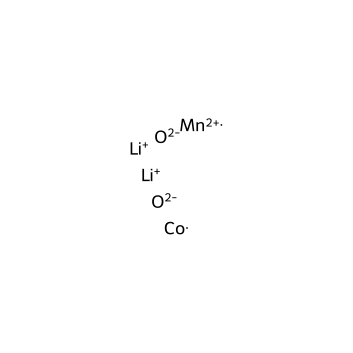 [Co].[Li+].[Li+].[Mn+2].[O-2].[O-2]